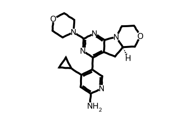 Nc1cc(C2CC2)c(-c2nc(N3CCOCC3)nc3c2C[C@@H]2COCCN32)cn1